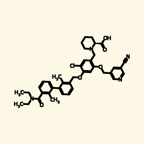 CCN(CC)C(=O)c1cccc(-c2cccc(COc3cc(OCc4cncc(C#N)c4)c(CN4CCCC[C@H]4C(=O)O)cc3Cl)c2C)c1C